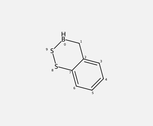 B1Cc2ccccc2SS1